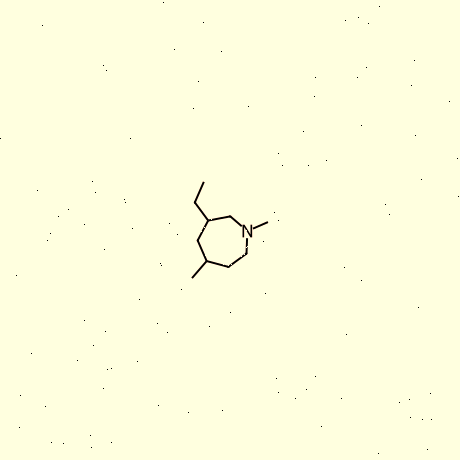 CCC1CC(C)CCN(C)C1